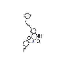 O=C1Nc2ccc(C#CCc3ccccc3)cc2C(=O)/C1=C\c1cccc(F)c1